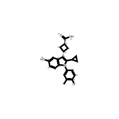 Cc1cc(-n2c(C3CC3)c([C@H]3C[C@H](C(=O)O)C3)c3cc(O)ccc32)ccc1F